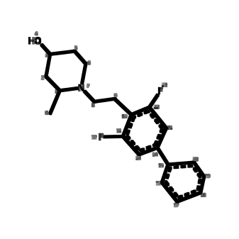 CC1CC(O)CCN1CCc1c(F)cc(-c2ccccc2)cc1F